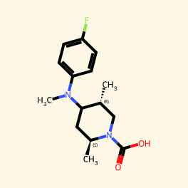 C[C@@H]1CN(C(=O)O)[C@@H](C)CC1N(C)c1ccc(F)cc1